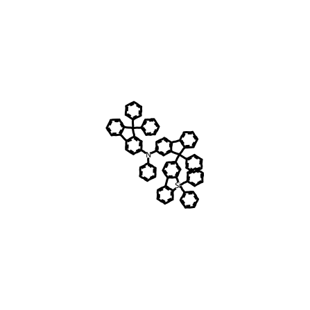 c1ccc(N(c2ccc3c(c2)C(c2ccccc2)(c2ccccc2)c2ccccc2-3)c2ccc3c(c2)C(c2ccccc2)(c2ccc4c(c2)[Si](c2ccccc2)(c2ccccc2)c2ccccc2-4)c2ccccc2-3)cc1